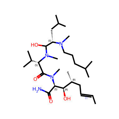 C/C=C/C[C@@H](C)[C@@H](O)[C@@H](C(N)=O)N(C)C(=O)[C@H](C(C)C)N(C)C(O)[C@H](CC(C)C)N(C)CCCC(C)C